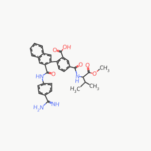 COC(=O)C(NC(=O)c1ccc(-c2cc3ccccc3cc2C(=O)Nc2ccc(C(=N)N)cc2)c(C(=O)O)c1)C(C)C